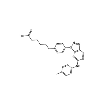 Cc1ccc(Nc2ncc3nnn(-c4ccc(CCCCCC(=O)O)cc4)c3n2)cc1